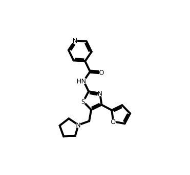 O=C(Nc1nc(-c2ccco2)c(CN2CCCC2)s1)c1ccncc1